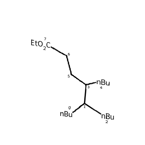 CCCCC(CCCC)C(CCCC)CCC(=O)OCC